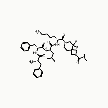 CNC(=O)N1CC2(CCN(C(=O)[C@@H](CCCCN)NC(=O)[C@@H](CC(C)C)NC(=O)[C@@H](Cc3ccccc3)NC(=O)[C@H](N)Cc3ccccc3)CC2(F)F)C1